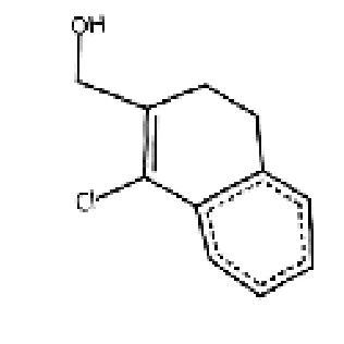 OCC1=C(Cl)c2ccccc2CC1